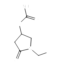 CCN1CC(OC(N)=O)CC1=O